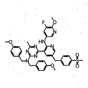 COc1ccc(CN(Cc2ccc(OC)cc2)c2nc(C)nc(-c3cc(Cc4ccc(S(C)(=O)=O)cc4)cnc3Nc3cnc(OC)c(F)c3)n2)cc1